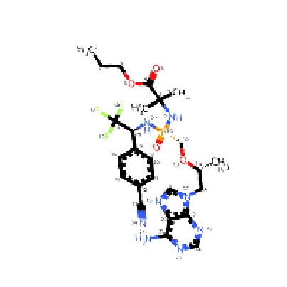 CCCOC(=O)C(C)(C)N[P@](=O)(CO[C@H](C)Cn1cnc2c(N)ncnc21)N[C@@H](c1ccc(C#N)cc1)C(F)(F)F